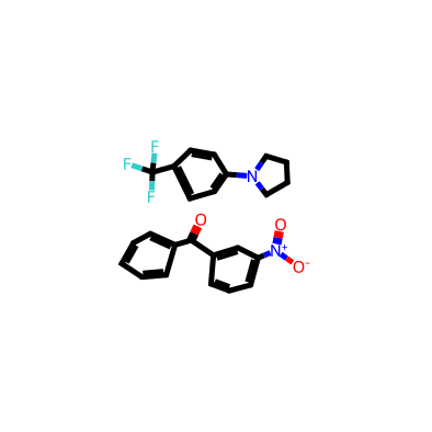 FC(F)(F)c1ccc(N2CCCC2)cc1.O=C(c1ccccc1)c1cccc([N+](=O)[O-])c1